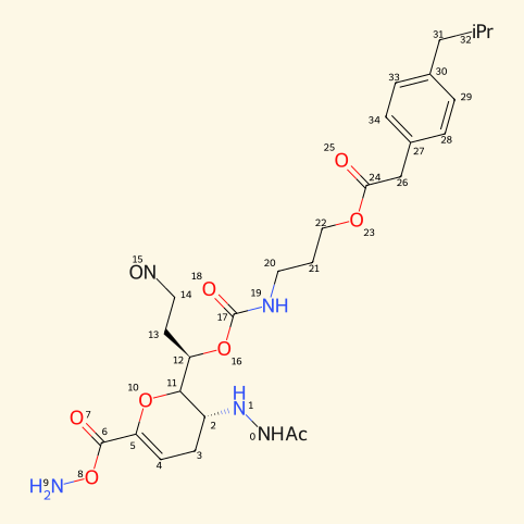 CC(=O)NN[C@@H]1CC=C(C(=O)ON)OC1[C@@H](CCN=O)OC(=O)NCCCOC(=O)Cc1ccc(CC(C)C)cc1